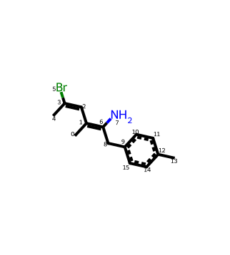 CC(/C=C(\C)Br)=C(/N)Cc1ccc(C)cc1